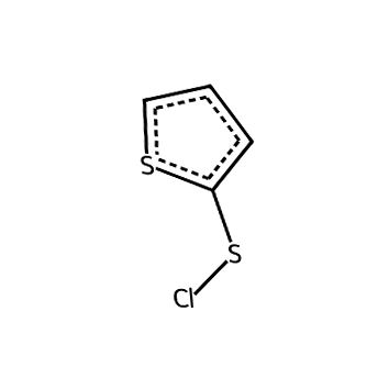 ClSc1cccs1